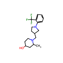 CC1CC(O)CCN1CC1CCN(c2ccccc2C(F)(F)F)C1